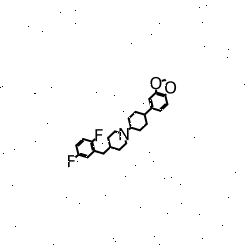 Fc1ccc(F)c(CC2CCN(C3CCC(c4ccc5c(c4)OCO5)CC3)CC2)c1